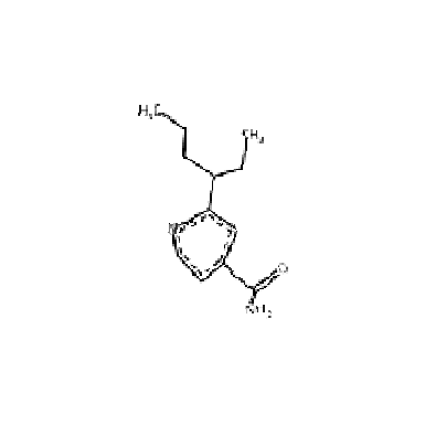 CCCC(CC)c1cc(C(N)=O)ccn1